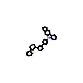 C1=c2c(sc3ccccc23)=C(c2cccc(-c3ccc(-n4c5ccccc5c5cc6ccccc6cc54)cc3)c2)CC1